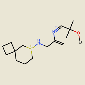 C=C(CN[SH]1CCCC2(CCC2)C1)/N=C\C(C)(C)OCC